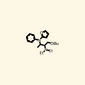 CCN(CC)C(COCC(C)C)C(C)N(c1ccccc1)c1ccco1